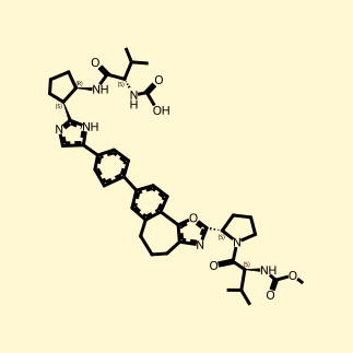 COC(=O)N[C@H](C(=O)N1CCC[C@H]1c1nc2c(o1)-c1ccc(-c3ccc(-c4cnc([C@H]5CCC[C@H]5NC(=O)[C@@H](NC(=O)O)C(C)C)[nH]4)cc3)cc1CCC2)C(C)C